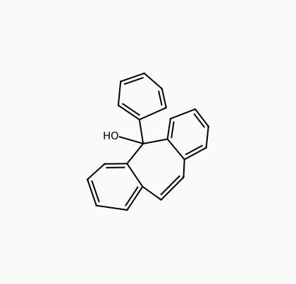 OC1(c2ccccc2)c2ccccc2C=Cc2ccccc21